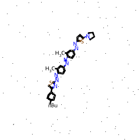 CCCCc1ccc(-c2csc(/N=N/c3ccc(/N=N/c4ccc(/N=N/c5ccc(N6CCCC6)s5)cc4C)cc3C)n2)cc1